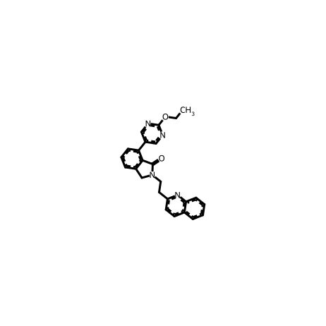 CCOc1ncc(-c2cccc3c2C(=O)N(CCc2ccc4ccccc4n2)C3)cn1